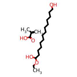 C=C(C)C(=O)O.CCOC(O)CCCCCCCCCCCCCO